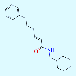 O=C(C=CCCCc1ccccc1)NCC1CCCCC1